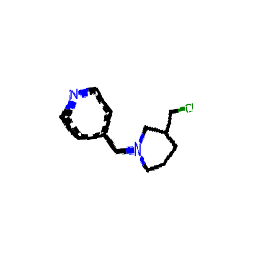 ClCC1CCCN(Cc2ccncc2)C1